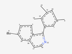 CCC(C)c1ccc2c(-c3cc(C)cc(C)c3C)nccc2c1